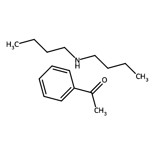 CC(=O)c1ccccc1.CCCCNCCCC